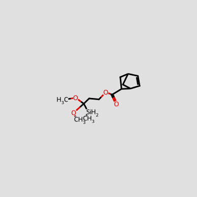 COC(CCOC(=O)C1CC2C=CC1C2)(OC)[SiH2]C